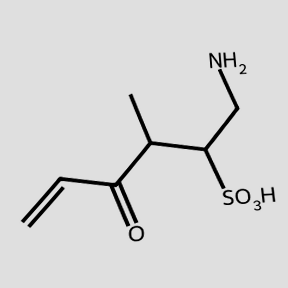 C=CC(=O)C(C)C(CN)S(=O)(=O)O